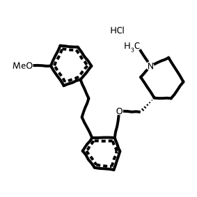 COc1cccc(CCc2ccccc2OC[C@H]2CCCN(C)C2)c1.Cl